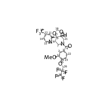 COc1cc(C(=O)N2CC[C@]3(c4cc(C(F)(F)F)ccn4)OCO[C@@H]3C2)ccc1OCC(F)(F)C(F)F